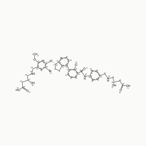 COc1nc(O[C@H]2CCc3c(-c4cccc(C(=O)Nc5ccc(CNCC(O)CC(=O)O)cn5)c4Cl)cccc32)c(Br)cc1CNCC(O)CC(=O)O